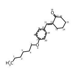 CCCCCCOc1ccc(/C=C2\CCCCC2=O)cc1